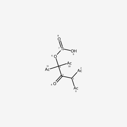 CC(=O)C(C(C)=O)C(=O)C([O][Ti](=[O])[OH])(C(C)=O)C(C)=O